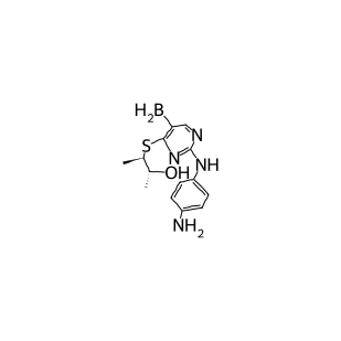 Bc1cnc(Nc2ccc(N)cc2)nc1S[C@H](C)[C@@H](C)O